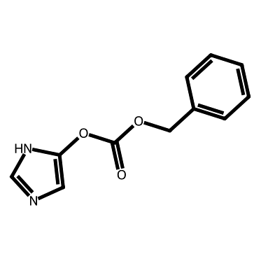 O=C(OCc1ccccc1)Oc1cnc[nH]1